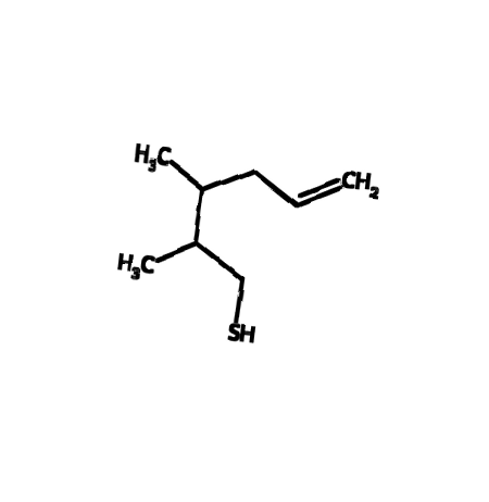 C=CCC(C)C(C)CS